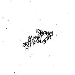 CNC(=O)COc1cc2cc(Nc3cc(N4CCC(OC5CC(N6CCC(c7ccc8c(c7F)CN([C@@H]7CCC(=O)NC7=O)C8=O)CC6)C5)CC4)ncc3Cl)ccc2n(C(C)C)c1=O